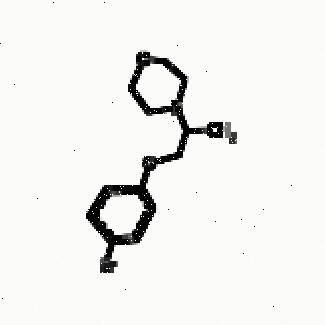 CC(COc1ccc(Br)cc1)N1CCOCC1